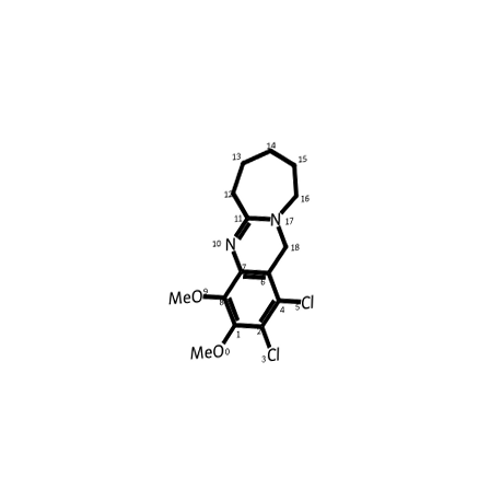 COc1c(Cl)c(Cl)c2c(c1OC)N=C1CCCCCN1C2